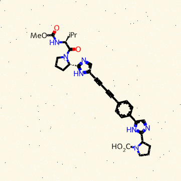 COC(=O)N[C@H](C(=O)N1CCC[C@H]1c1ncc(C#CC#Cc2ccc(-c3cnc(C4CCCN4C(=O)O)[nH]3)cc2)[nH]1)C(C)C